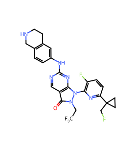 O=c1c2cnc(Nc3ccc4c(c3)CCNC4)nc2n(-c2nc(C3(CF)CC3)ccc2F)n1CC(F)(F)F